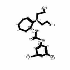 OCCN(CCO)C1=CCCCC[C@H]1NC(=S)Nc1cc(C(F)(F)F)cc(C(F)(F)F)c1